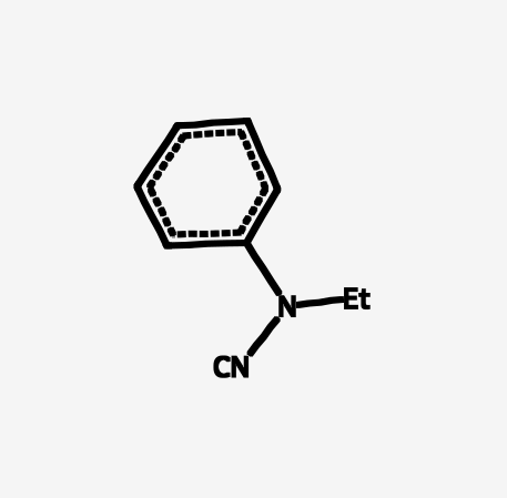 [C-]#[N+]N(CC)c1ccccc1